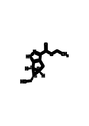 CCOC(=O)c1n[nH]c2c1C[C@H]1[C@H](CO)[C@@H]21